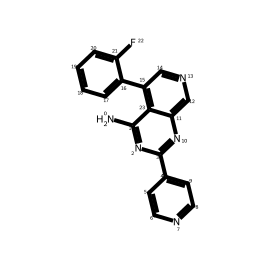 Nc1nc(-c2ccncc2)nc2cncc(-c3ccccc3F)c12